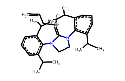 C=C[CH2][Ni-2]([Cl])=[C]1N(c2c(C(C)C)cccc2C(C)C)CCN1c1c(C(C)C)cccc1C(C)C